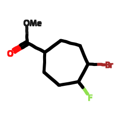 COC(=O)C1CCC(F)C(Br)CC1